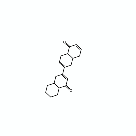 O=C1C=CCC2CC(C3=CC(=O)C4CCCCC4C3)=CCC12